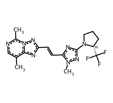 Cc1cnc(C)n2nc(C=Cc3nc(N4CCC[C@@H]4C(F)(F)F)nn3C)nc12